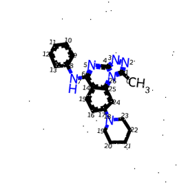 Cc1nnc2nc(Nc3ccccc3)c3ccc(N4CCCCC4)cc3n12